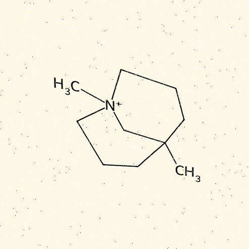 CC12CCC[N+](C)(CCC1)C2